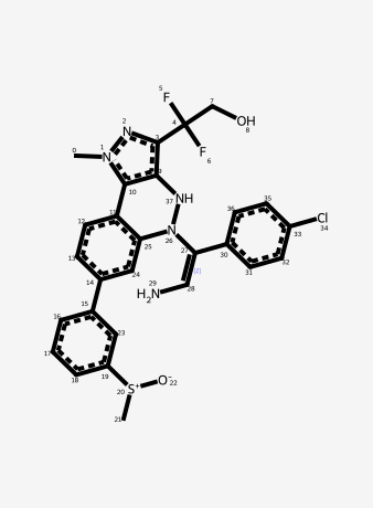 Cn1nc(C(F)(F)CO)c2c1-c1ccc(-c3cccc([S+](C)[O-])c3)cc1N(/C(=C\N)c1ccc(Cl)cc1)N2